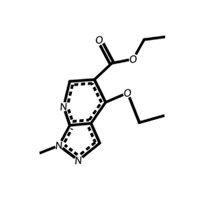 CCOC(=O)c1cnc2c(cnn2C)c1OCC